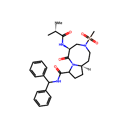 CN[C@@H](C)C(=O)N[C@H]1CN(S(C)(=O)=O)CC[C@H]2CCC(C(=O)NC(c3ccccc3)c3ccccc3)N2C1=O